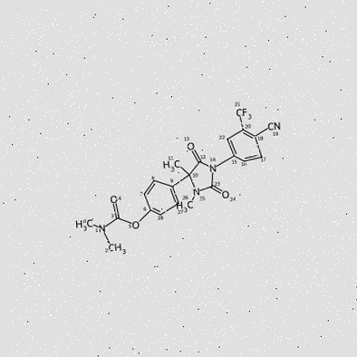 CN(C)C(=O)Oc1ccc(C2(C)C(=O)N(c3ccc(C#N)c(C(F)(F)F)c3)C(=O)N2C)cc1